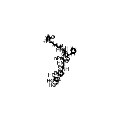 CCC[C@H](NC(=O)[C@H](Cc1ccccc1)NC(=O)CNC(=O)CCCCCN1C(=O)C=CC1=O)C(=O)NCC(=O)NC1=NC(=O)N([C@@H]2O[C@H](CO)[C@H](O)C2O)CC1